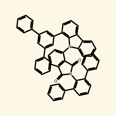 O=C1c2cccc(-n3c4ccccc4c4cccc(-c5cc(-c6ccccc6)cc(-c6ccccc6)c5)c43)c2C(=O)N1c1c(-c2ccccc2)cccc1-c1ccccc1